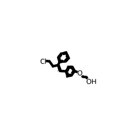 OCCOc1ccc([C]=C(CCCl)c2ccccc2)cc1